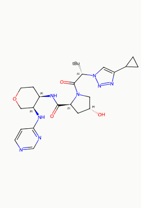 CC(C)(C)[C@@H](C(=O)N1C[C@H](O)C[C@H]1C(=O)N[C@@H]1CCOC[C@@H]1Nc1ccncn1)n1cc(C2CC2)nn1